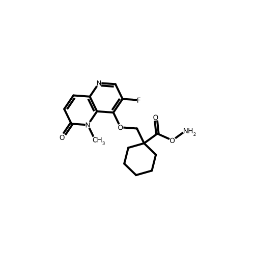 Cn1c(=O)ccc2ncc(F)c(OCC3(C(=O)ON)CCCCC3)c21